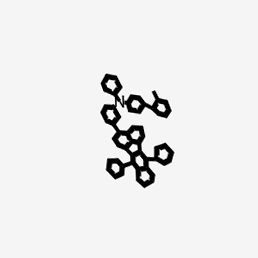 Cc1ccccc1-c1ccc(N(c2ccccc2)c2cccc(-c3ccc4c5c(cccc35)-c3c-4c(-c4ccccc4)c4ccccc4c3-c3ccccc3)c2)cc1